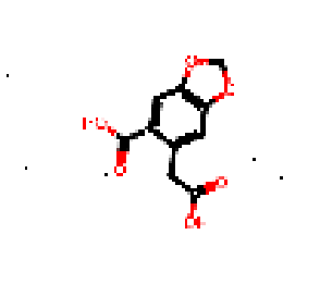 O=C(O)Cc1cc2c(cc1C(=O)O)OCO2